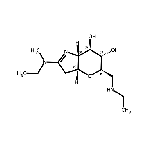 CCNC[C@H]1O[C@@H]2CC(N(C)CC)=N[C@@H]2[C@@H](O)[C@@H]1O